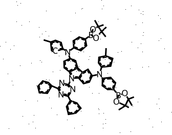 Cc1ccc(N(c2ccc(B3OC(C)(C)C(C)(C)O3)cc2)c2ccc3c(c2)c2cc(N(c4ccc(C)cc4)c4ccc(B5OC(C)(C)C(C)(C)O5)cc4)ccc2n3-c2nc(-c3ccccc3)nc(-c3ccccc3)n2)cc1